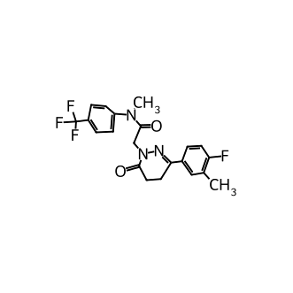 Cc1cc(C2=NN(CC(=O)N(C)c3ccc(C(F)(F)F)cc3)C(=O)CC2)ccc1F